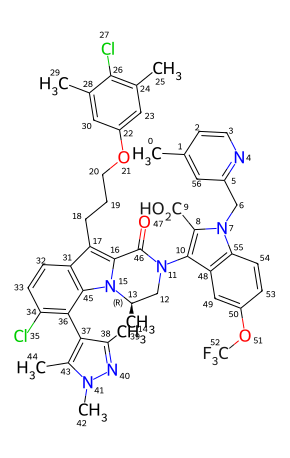 Cc1ccnc(Cn2c(C(=O)O)c(N3C[C@@H](C)n4c(c(CCCOc5cc(C)c(Cl)c(C)c5)c5ccc(Cl)c(-c6c(C)nn(C)c6C)c54)C3=O)c3cc(OC(F)(F)F)ccc32)c1